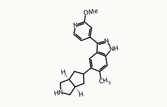 COc1cc(-c2n[nH]c3cc(C)c(C4C[C@H]5CNC[C@H]5C4)cc23)ccn1